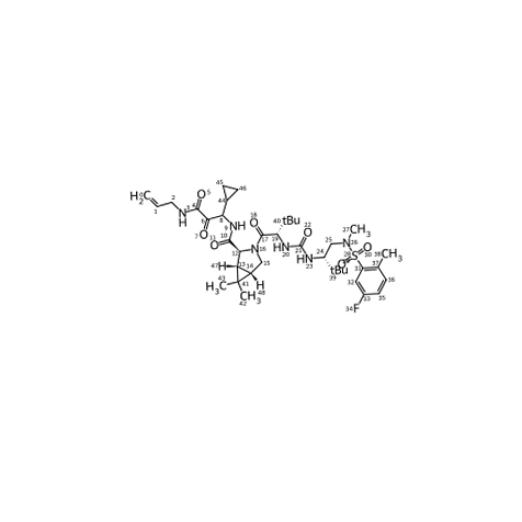 C=CCNC(=O)C(=O)C(NC(=O)[C@@H]1[C@@H]2[C@H](CN1C(=O)[C@@H](NC(=O)N[C@H](CN(C)S(=O)(=O)c1cc(F)ccc1C)C(C)(C)C)C(C)(C)C)C2(C)C)C1CC1